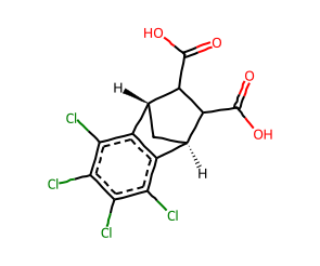 O=C(O)C1C(C(=O)O)[C@@H]2C[C@@H]1c1c(Cl)c(Cl)c(Cl)c(Cl)c12